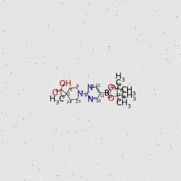 CC1(C(=O)O)CCN(c2ncc(B3OC(C)(C)C(C)(C)O3)cn2)CC1